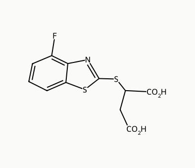 O=C(O)CC(Sc1nc2c(F)cccc2s1)C(=O)O